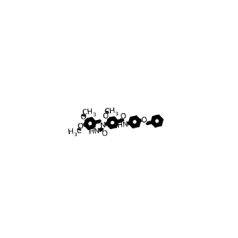 COc1cc2c(cc1OC)NC(=O)N(c1ccc(C(=O)Nc3ccc(OCc4ccccc4)cc3)cc1OC)C2